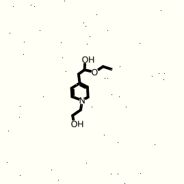 CCOC(O)CC1=CCN(CCO)C=C1